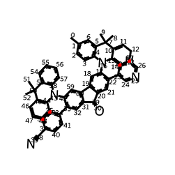 Cc1ccc2c(c1)C(C)(C)C1=CCCC=C1N2c1cc2c(cc1-c1cncnc1)C(=O)c1cc(-c3ccc(C#N)cc3)c(N3C4=C(C=C=C=C4)C(C)(C)c4ccccc43)cc1-2